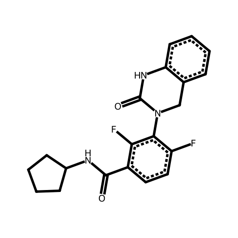 O=C(NC1CCCC1)c1ccc(F)c(N2Cc3ccccc3NC2=O)c1F